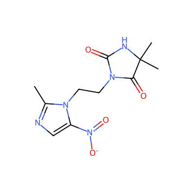 Cc1ncc([N+](=O)[O-])n1CCN1C(=O)NC(C)(C)C1=O